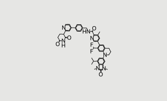 Cc1cc(-c2cc3c(cc2C(F)F)N(c2cc(C(C)C)c4c(c2)n(C)c(=O)n4C)CCC3)cnc1C(=O)NCc1ccc(-c2ccnc(C3CCC(=O)NC3=O)c2)cc1